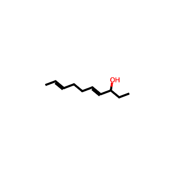 CC=CCCC=CC(O)CC